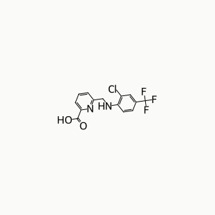 O=C(O)c1cccc(CNc2ccc(C(F)(F)F)cc2Cl)n1